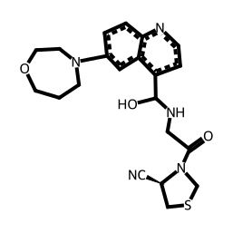 N#C[C@@H]1CSCN1C(=O)CNC(O)c1ccnc2ccc(N3CCCOCC3)cc12